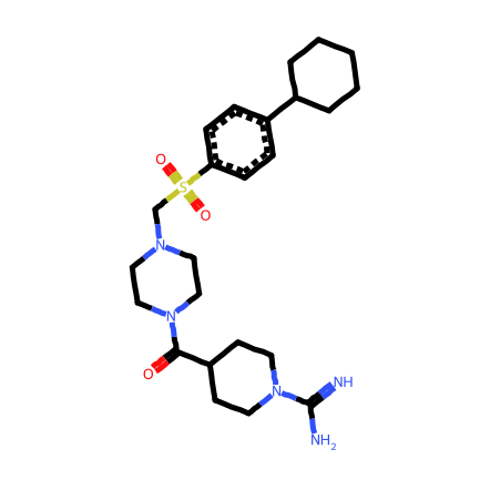 N=C(N)N1CCC(C(=O)N2CCN(CS(=O)(=O)c3ccc(C4CCCCC4)cc3)CC2)CC1